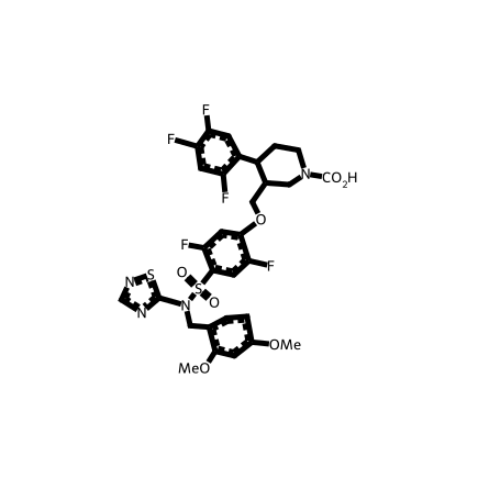 COc1ccc(CN(c2ncns2)S(=O)(=O)c2cc(F)c(OCC3CN(C(=O)O)CCC3c3cc(F)c(F)cc3F)cc2F)c(OC)c1